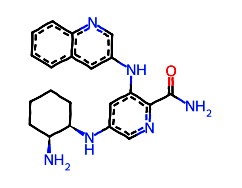 NC(=O)c1ncc(N[C@@H]2CCCC[C@@H]2N)cc1Nc1cnc2ccccc2c1